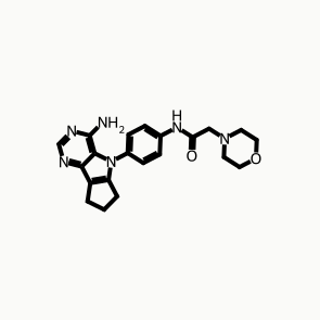 Nc1ncnc2c3c(n(-c4ccc(NC(=O)CN5CCOCC5)cc4)c12)CCC3